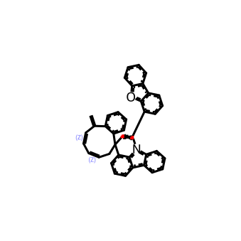 C=C1/C=C\C=C/CC2(c3ccccc31)c1ccc(-c3cccc4c3oc3ccccc34)cc1-n1c3ccccc3c3cccc2c31